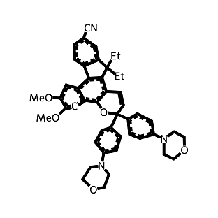 CCC1(CC)c2cc(C#N)ccc2-c2c1c1c(c3cc(OC)c(OC)cc23)OC(c2ccc(N3CCOCC3)cc2)(c2ccc(N3CCOCC3)cc2)C=C1